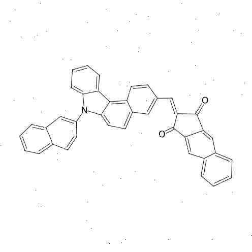 O=C1C(=Cc2ccc3c(ccc4c3c3ccccc3n4-c3ccc4ccccc4c3)c2)C(=O)c2cc3ccccc3cc21